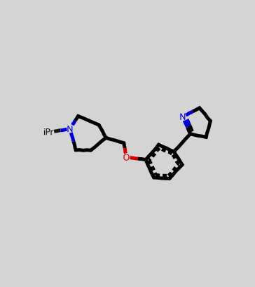 CC(C)N1CCC(COc2cccc(C3=NCCC3)c2)CC1